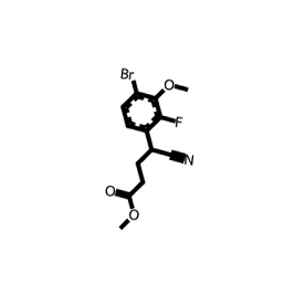 COC(=O)CCC(C#N)c1ccc(Br)c(OC)c1F